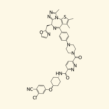 Cc1sc2c(c1C)C(c1ccc(N3CCN(C(=O)c4ccc(C(=O)N[C@H]5CC[C@H](Oc6ccc(C#N)c(Cl)c6)CC5)nn4)CC3)cc1)=N[C@@H](Cc1ncco1)c1nnc(C)n1-2